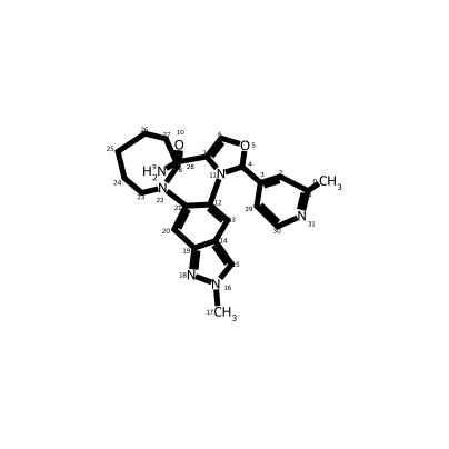 Cc1cc(C2OC=C(C(N)=O)N2c2cc3cn(C)nc3cc2N2CCCCCC2)ccn1